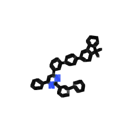 CC1(C)c2ccccc2-c2cc(-c3ccc(-c4cccc(-c5cc(-c6ccccc6)nc(-c6cccc(-c7ccccc7)c6)n5)c4)cc3)ccc21